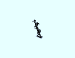 CC(C)OCC(COC(=O)CSSCC(=O)OCC(COC(C)C)OC(C)C)OC(C)C